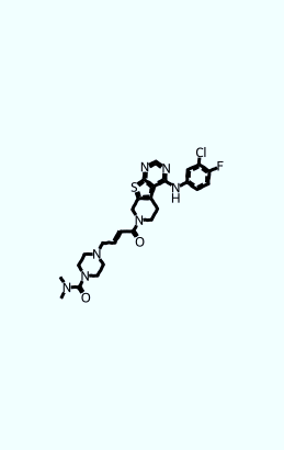 CN(C)C(=O)N1CCN(C/C=C/C(=O)N2CCc3c(sc4ncnc(Nc5ccc(F)c(Cl)c5)c34)C2)CC1